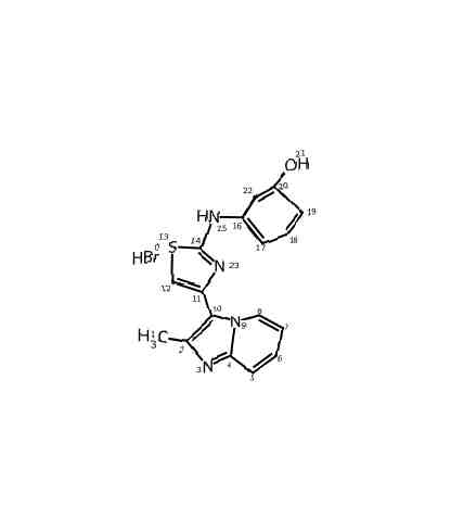 Br.Cc1nc2ccccn2c1-c1csc(Nc2cccc(O)c2)n1